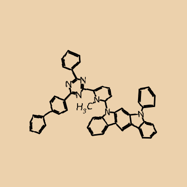 CN1C(c2nc(-c3ccccc3)nc(-c3ccc(-c4ccccc4)cc3)n2)=CC=CC1n1c2ccccc2c2cc3c4ccccc4n(-c4ccccc4)c3cc21